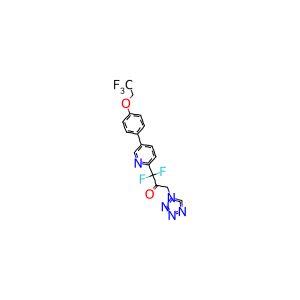 O=C(Cn1cnnn1)C(F)(F)c1ccc(-c2ccc(OCC(F)(F)F)cc2)cn1